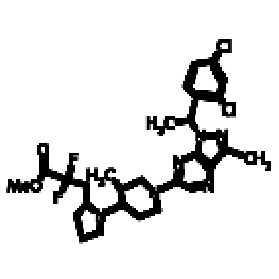 COC(=O)C(F)(F)CC1CCCN1C1CCN(c2cnc3c(C)nn(C(C)c4ccc(Cl)cc4Cl)c3n2)CC1C